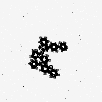 c1ccc(-c2ccc(-c3nc(-n4c5ccccc5c5c4ccc4c6c7oc8ccccc8c7ccc6n(-c6ccccc6)c45)nc4ccccc34)cc2)cc1